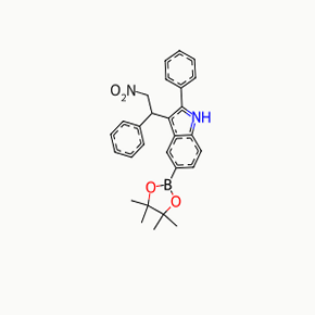 CC1(C)OB(c2ccc3[nH]c(-c4ccccc4)c(C(C[N+](=O)[O-])c4ccccc4)c3c2)OC1(C)C